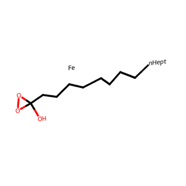 CCCCCCCCCCCCCCCC1(O)OO1.[Fe]